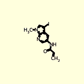 C=CC(=O)Nc1cnc2c(c1)c(I)cn2C